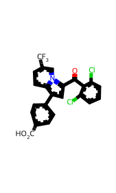 O=C(O)c1ccc(-c2cc(C(=O)c3c(Cl)cccc3Cl)n3cc(C(F)(F)F)ccc23)cc1